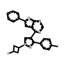 Fc1ccc(-c2nn(C3CC(F)C3)cc2-c2ncnc3oc(-c4ccccc4)cc23)cc1